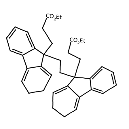 CCOC(=O)CCC1(CCC2(CCC(=O)OCC)C3=CCCC=C3c3ccccc32)C2=CCCC=C2c2ccccc21